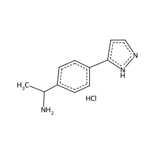 CC(N)c1ccc(-c2ccn[nH]2)cc1.Cl